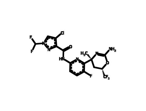 C[C@@]1(c2nc(NC(=O)c3nn(C(F)F)cc3Cl)ccc2F)C[C@@H](C(F)(F)F)OC(N)=N1